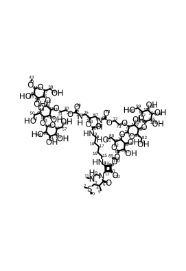 C=S(C)CC(C)C(=O)N(CNC)c1c(NCCCCCNC(=O)OC(CNC(=O)OCCOC2C(OC3C(CO)OC(OC)C(O)C3O)OC(CO)C(OC3OC(CO)C(O)C(O)C3O)C2O)CNC(=O)OCCOC2C(OC3C(CO)OC(OC)C(O)C3O)OC(CO)C(OC3OC(CO)C(O)C(O)C3O)C2O)c(=O)c1=O